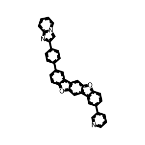 c1cncc(-c2ccc3oc4cc5c(cc4c3c2)oc2ccc(-c3ccc(-c4cn6ccccc6n4)cc3)cc25)c1